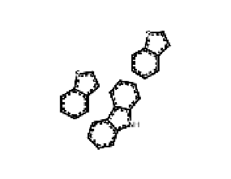 c1ccc2c(c1)[nH]c1ccccc12.c1ccc2sccc2c1.c1ccc2sccc2c1